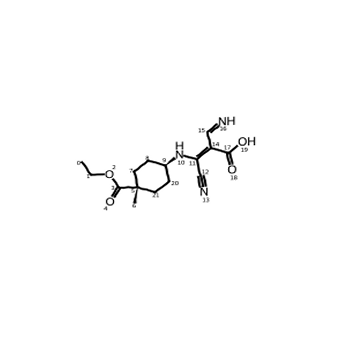 CCOC(=O)[C@]1(C)CC[C@@H](N/C(C#N)=C(\C=N)C(=O)O)CC1